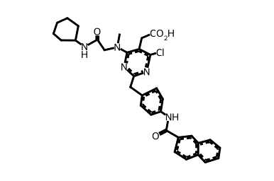 CN(CC(=O)NC1CCCCC1)c1nc(Cc2ccc(NC(=O)c3ccc4ccccc4c3)cc2)nc(Cl)c1CC(=O)O